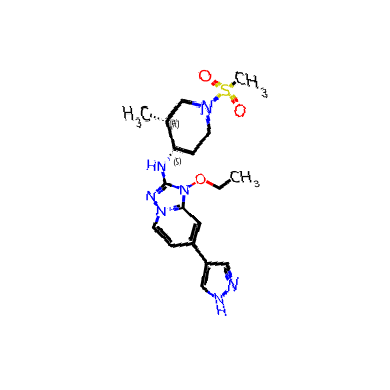 CCOn1c(N[C@H]2CCN(S(C)(=O)=O)C[C@H]2C)n[n+]2ccc(-c3cn[nH]c3)cc12